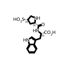 O=C(O)[C@H](Cc1c[nH]c2ccccc12)NC(=O)[C@@H]1C[C@H](S(=O)(=O)O)CN1